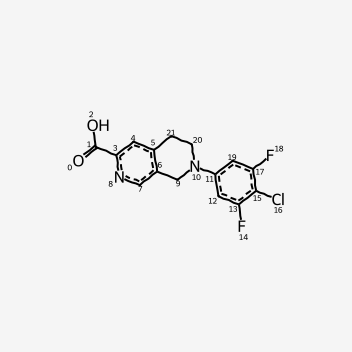 O=C(O)c1cc2c(cn1)CN(c1cc(F)c(Cl)c(F)c1)CC2